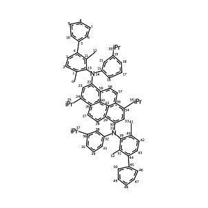 Cc1ccc(-c2ccccc2)c(C)c1N(c1cccc(C(C)C)c1)c1cc(C(C)C)c2ccc3c(N(c4cccc(C(C)C)c4)c4c(C)ccc(-c5ccccc5)c4C)cc(C(C)C)c4ccc1c2c43